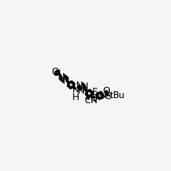 CC(C)(C)OC(=O)N1CC[C@@H](Oc2ccc(-c3ncnc(Nc4ccc(N5CCN(C6COC6)CC5)cc4)n3)cc2C#N)[C@@H](F)C1